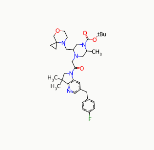 CC1CN(CC(=O)N2CC(C)(C)c3ncc(Cc4ccc(F)cc4)cc32)C(CN2CCOCC23CC3)CN1C(=O)OC(C)(C)C